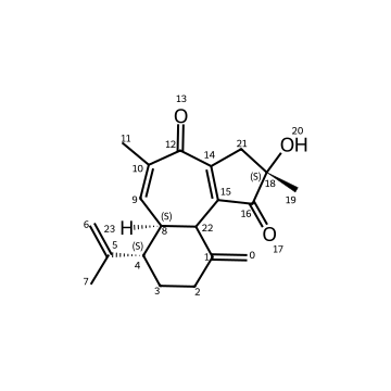 C=C1CC[C@H](C(=C)C)[C@H]2C=C(C)C(=O)C3=C(C(=O)[C@@](C)(O)C3)C12